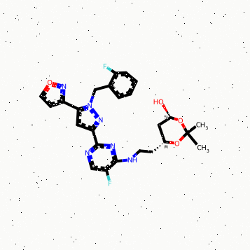 CC1(C)O[C@H](CCNc2nc(-c3cc(-c4ccon4)n(Cc4ccccc4F)n3)ncc2F)C[C@@H](O)O1